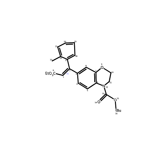 CCOC(=O)/C=C(/c1ccc2c(c1)OCCN2C(=O)OC(C)(C)C)c1ccccc1C